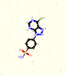 NS(=O)(=O)c1ccc(-n2nnc3c(Cl)ncnc32)cc1